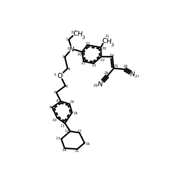 CCN(CCOCCc1ccc(C2CCCCC2)cc1)c1ccc(C=C(C#N)C#N)c(C)c1